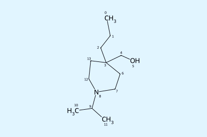 CCCC1(CO)CCN(C(C)C)CC1